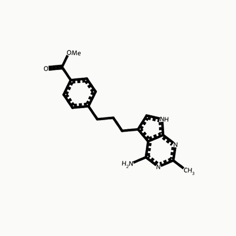 COC(=O)c1ccc(CCCc2c[nH]c3nc(C)nc(N)c23)cc1